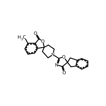 Cc1cccc2c1C(=O)OC21CCN(C2=NC(=O)C3(Cc4ccccc4C3)O2)CC1